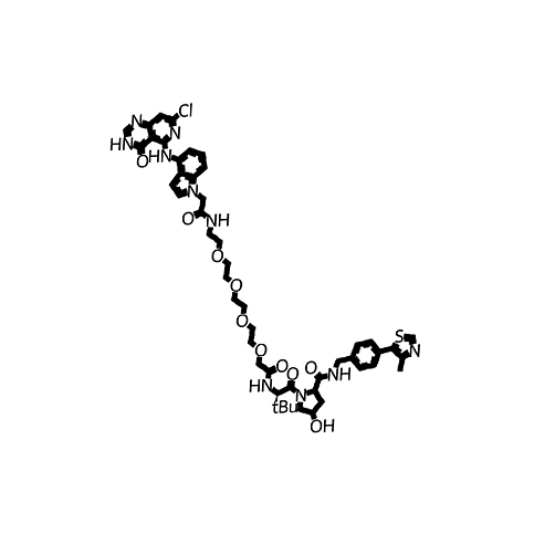 Cc1ncsc1-c1ccc(CNC(=O)C2CC(O)CN2C(=O)[C@@H](NC(=O)COCCOCCOCCOCCNC(=O)Cn2ccc3c(Nc4nc(Cl)cc5nc[nH]c(=O)c45)cccc32)C(C)(C)C)cc1